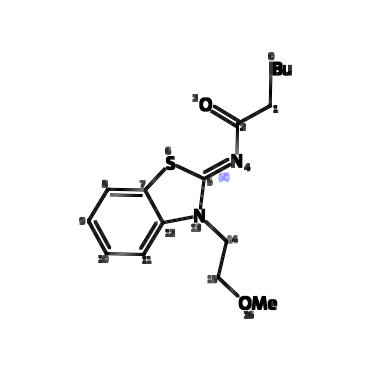 CCC(C)CC(=O)/N=c1\sc2ccccc2n1CCOC